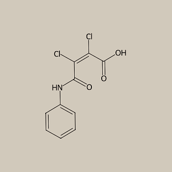 O=C(O)/C(Cl)=C(/Cl)C(=O)Nc1ccccc1